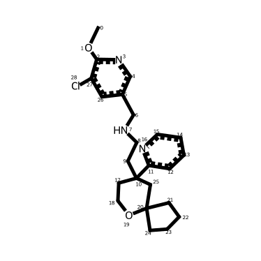 COc1ncc(CNCCC2(c3ccccn3)CCOC3(CCCC3)C2)cc1Cl